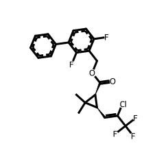 CC1(C)[C@H](C=C(Cl)C(F)(F)F)[C@@H]1C(=O)OCc1c(F)ccc(-c2ccccc2)c1F